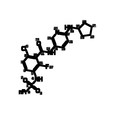 CCCS(=O)(=O)Nc1ccc(Cl)c(C(=O)Nc2ccc(NC3CCCC3)nc2)c1F